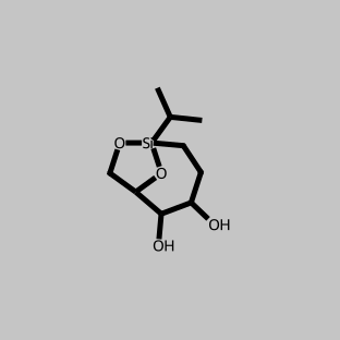 CC(C)[Si]12CCC(O)C(O)C(CO1)O2